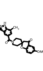 COc1ccc2c(c1)C(=O)CC1(CCN(C(=O)c3cc(C)c4[nH]ncc4c3)CC1)O2